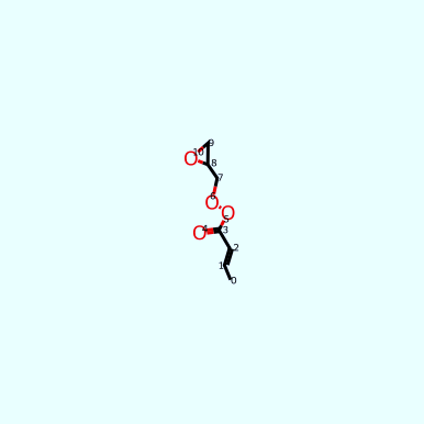 CC=CC(=O)OOCC1CO1